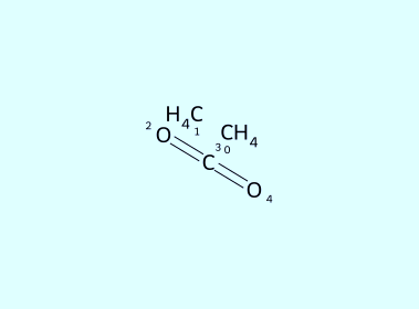 C.C.O=C=O